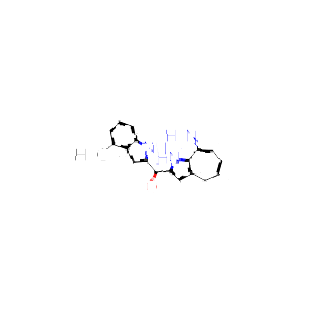 Cc1cccc2[nH]c(C(=O)c3cc4c([nH]3)C(N)=CC=CC4)cc12